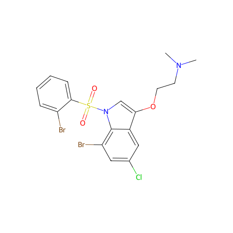 CN(C)CCOc1cn(S(=O)(=O)c2ccccc2Br)c2c(Br)cc(Cl)cc12